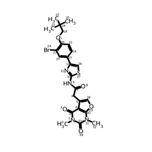 Cn1c(=O)c2c(CC(=O)Nc3nc(-c4ccc(OCC(C)(C)C)c(Br)c4)cs3)coc2n(C)c1=O